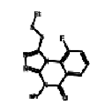 CCCn1c(=O)c2cccc(F)c2n2c(SSCC)nnc12